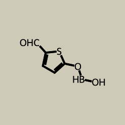 O=Cc1ccc(OBO)s1